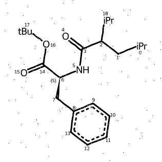 CC(C)CC(C(=O)N[C@@H](Cc1ccccc1)C(=O)OC(C)(C)C)C(C)C